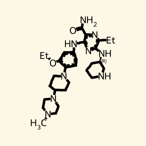 CCOc1cc(Nc2nc(N[C@@H]3CCCNC3)c(CC)nc2C(N)=O)ccc1N1CCC(N2CCN(C)CC2)CC1